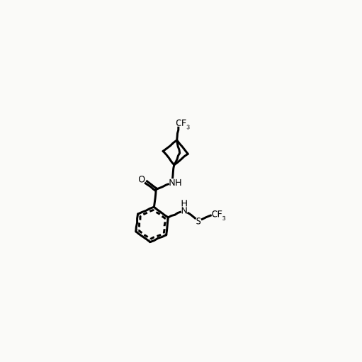 O=C(NC12CC(C(F)(F)F)(C1)C2)c1ccccc1NSC(F)(F)F